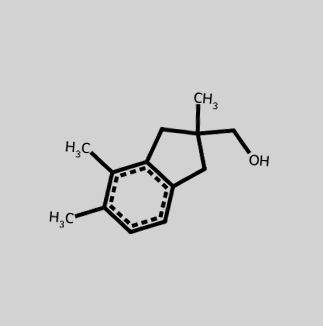 Cc1ccc2c(c1C)CC(C)(CO)C2